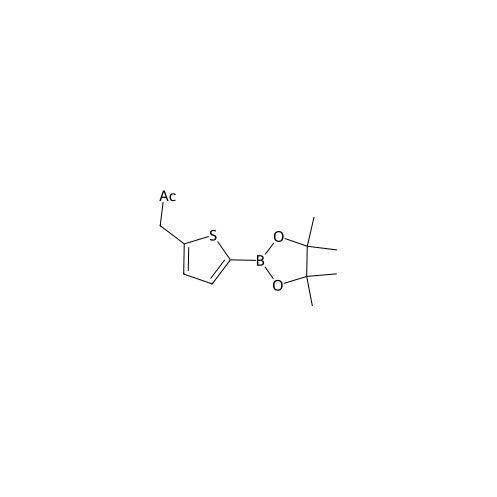 CC(=O)Cc1ccc(B2OC(C)(C)C(C)(C)O2)s1